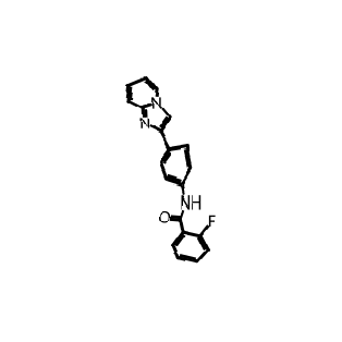 O=C(Nc1ccc(-c2cn3ccccc3n2)cc1)c1ccccc1F